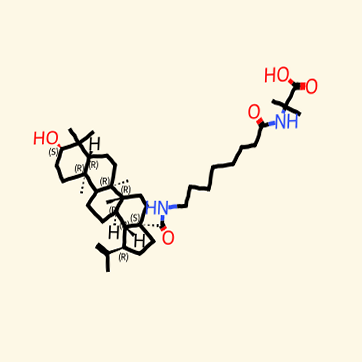 C=C(C)[C@@H]1CC[C@]2(C(=O)NCCCCCCCC(=O)NC(C)(C)C(=O)O)CC[C@]3(C)[C@H](CCC4[C@@]5(C)CC[C@H](O)C(C)(C)[C@@H]5CC[C@]43C)[C@@H]12